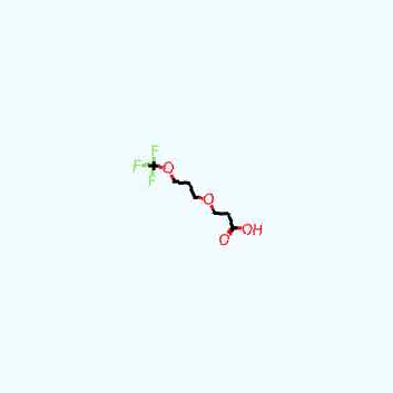 O=C(O)CCOCCCOC(F)(F)F